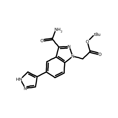 CC(C)(C)OC(=O)Cn1nc(C(N)=O)c2cc(-c3cn[nH]c3)ccc21